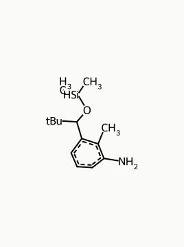 Cc1c(N)cccc1C(O[SiH](C)C)C(C)(C)C